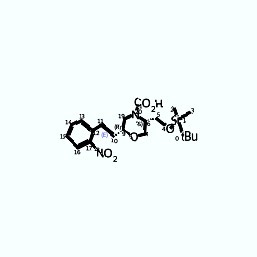 CC(C)(C)[Si](C)(C)OC[C@@H]1CO[C@H](/C=C/c2ccccc2[N+](=O)[O-])CN1C(=O)O